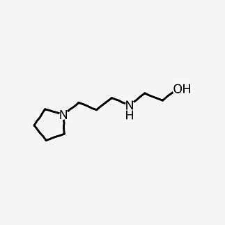 OCCNCCCN1CCCC1